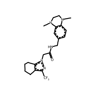 CN1CCN(C)c2cc(CNC(=O)Cn3nc(C(F)(F)F)c4c3CCCC4)ccc21